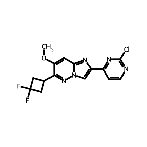 COc1cc2nc(-c3ccnc(Cl)n3)cn2nc1C1CC(F)(F)C1